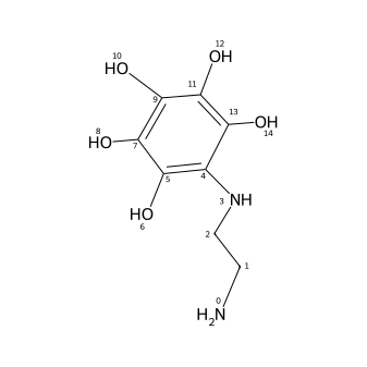 NCCNc1c(O)c(O)c(O)c(O)c1O